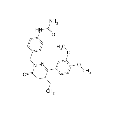 CCC1CC(=O)N(Cc2ccc(NC(N)=O)cc2)N=C1c1ccc(OC)c(OC)c1